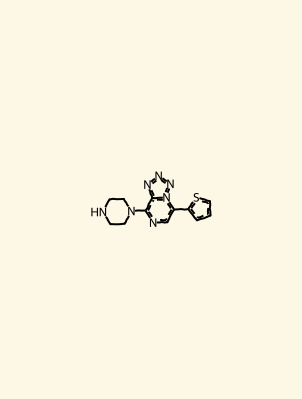 c1csc(-c2cnc(N3CCNCC3)c3nnnn23)c1